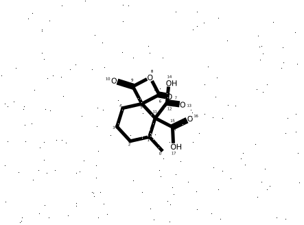 CC1CCCC2(C(=O)OC2=O)C1(C(=O)O)C(=O)O